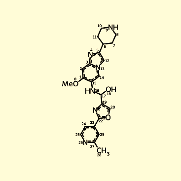 COc1cc2nc(C3CCNCC3)cn2cc1NC(O)c1coc(-c2ccnc(C)c2)n1